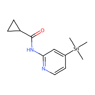 [CH3][Sn]([CH3])([CH3])[c]1ccnc(NC(=O)C2CC2)c1